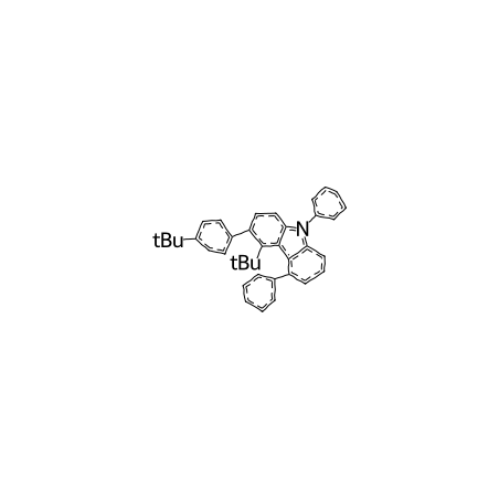 CC(C)(C)c1ccc(-c2ccc3c(c2C(C)(C)C)c2c(-c4ccccc4)cccc2n3-c2ccccc2)cc1